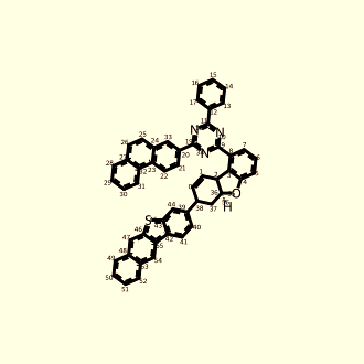 C1=CC2c3c(cccc3-c3nc(-c4ccccc4)nc(-c4ccc5c(ccc6ccccc65)c4)n3)O[C@H]2CC1c1ccc2c(c1)sc1cc3ccccc3cc12